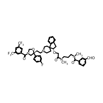 CN(CCCN(C)C(=O)c1cccc(C=O)c1)C(=O)CO[C@H]1Cc2ccccc2C12CCN(CC[C@@]1(c3ccc(F)cc3)CN(C(=O)c3cc(C(F)(F)F)cc(C(F)(F)F)c3)CO1)CC2